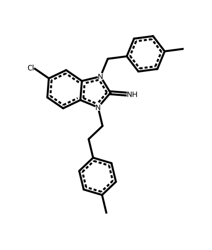 Cc1ccc(CCn2c(=N)n(Cc3ccc(C)cc3)c3cc(Cl)ccc32)cc1